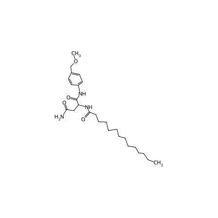 CCCCCCCCCCCCCC(=O)NC(CC(N)=O)C(=O)Nc1ccc(COC)cc1